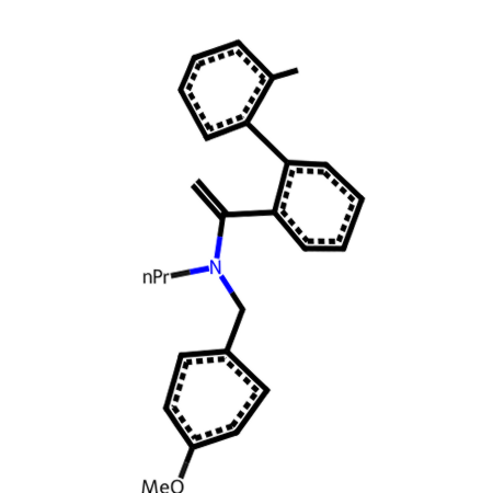 C=C(c1ccccc1-c1ccccc1C)N(CCC)Cc1ccc(OC)cc1